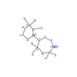 CC1N(C2CCNC(C)(C)CC2(C)C)CCCC1(C)C